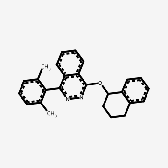 Cc1cccc(C)c1-c1nnc(OC2CCCc3ccccc32)c2ccccc12